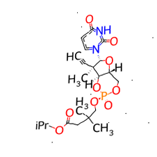 C#C[C@]1(C)[C@@H]2O[P@](=O)(OCC(C)(C)CC(=O)OC(C)C)OC[C@H]2O[C@H]1n1ccc(=O)[nH]c1=O